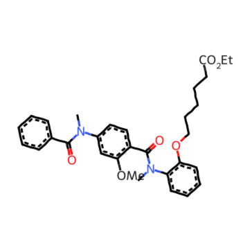 CCOC(=O)CCCCCOc1ccccc1N(C)C(=O)c1ccc(N(C)C(=O)c2ccccc2)cc1OC